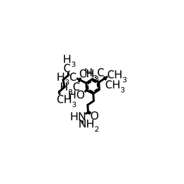 CC(C)(C)c1cc(CCC(=O)NN)c(O)c(C(C)(C)C)c1.CCCCCC